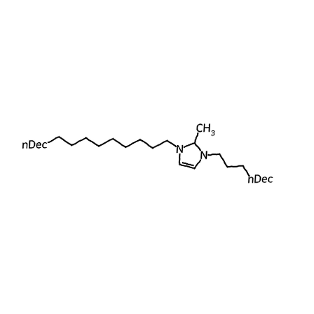 CCCCCCCCCCCCCCCCCCCN1C=CN(CCCCCCCCCCCCC)C1C